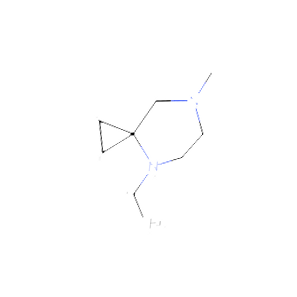 CN1CCN(CC(C)(C)C)C2(CC2)C1